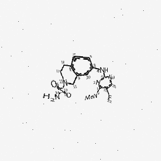 CNc1nc(Nc2ccc3c(c2)CN(S(N)(=O)=O)CC3)ncc1F